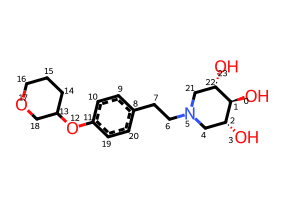 O[C@H]1[C@H](O)CN(CCc2ccc(OC3CCCOC3)cc2)C[C@@H]1O